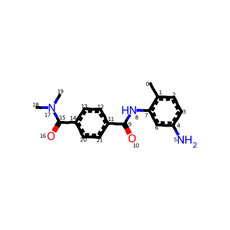 Cc1ccc(N)cc1NC(=O)c1ccc(C(=O)N(C)C)cc1